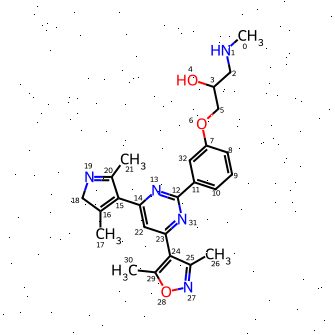 CNCC(O)COc1cccc(-c2nc(C3=C(C)CN=C3C)cc(-c3c(C)noc3C)n2)c1